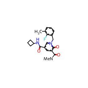 CNC(=O)c1cc(C(=O)NC2CCC2)cn(Cc2cccc(C)c2F)c1=O